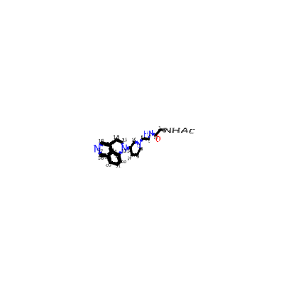 CC(=O)NCC(=O)NCCN1CCCC(N2CCc3cncc4cccc2c34)C1